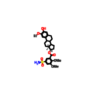 CCOc1cc2c(cc1O)CCC1C2CC[C@@]2(C)C1CC[C@@H]2OC(=O)c1cc(S(N)(=O)=O)cc(OC)c1OC